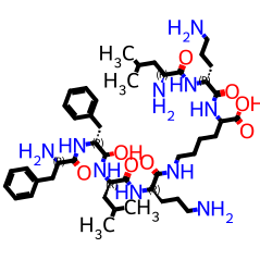 CC(C)C[C@@H](N)C(=O)N[C@H](CCCN)C(=O)NC(CCCCNC(=O)[C@@H](CCCN)NC(=O)[C@@H](CC(C)C)NC(O)[C@@H](Cc1ccccc1)NC(=O)[C@H](N)Cc1ccccc1)C(=O)O